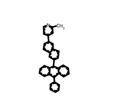 Cc1cc(-c2ccc3cc(-c4c5ccccc5c(-c5ccccc5)c5ccccc45)ccc3c2)ccn1